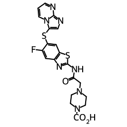 O=C(CN1CCN(C(=O)O)CC1)Nc1nc2cc(F)c(Sc3cnc4ncccn34)cc2s1